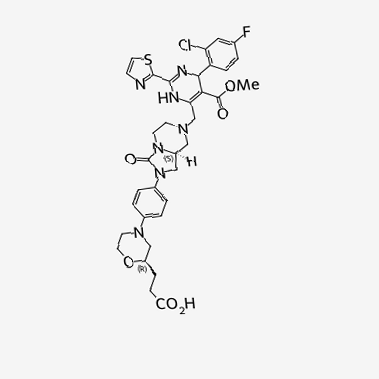 COC(=O)C1=C(CN2CCN3C(=O)N(c4ccc(N5CCO[C@H](CCC(=O)O)C5)cc4)C[C@@H]3C2)NC(c2nccs2)=NC1c1ccc(F)cc1Cl